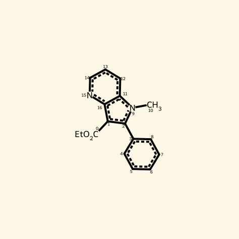 CCOC(=O)c1c(-c2ccccc2)n(C)c2cccnc12